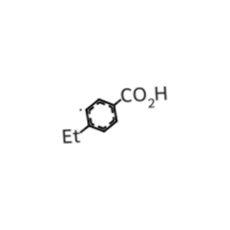 CCc1[c]cc(C(=O)O)cc1